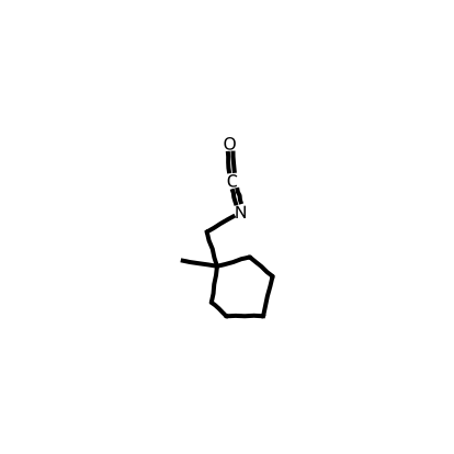 CC1(CN=C=O)CCCCC1